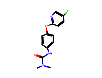 CN(C)C(=O)Nc1ccc(Oc2ccc(Cl)cn2)cc1